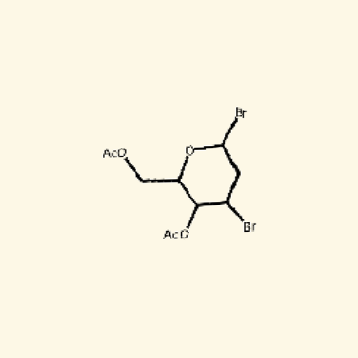 CC(=O)OCC1OC(Br)CC(Br)C1OC(C)=O